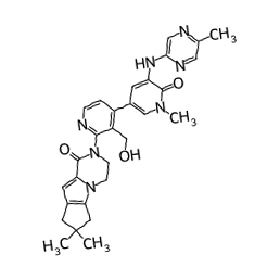 Cc1cnc(Nc2cc(-c3ccnc(N4CCn5c(cc6c5CC(C)(C)C6)C4=O)c3CO)cn(C)c2=O)cn1